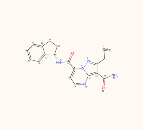 COCc1nn2c(C(=O)N[C@H]3CCc4ccccc43)ccnc2c1C(N)=O